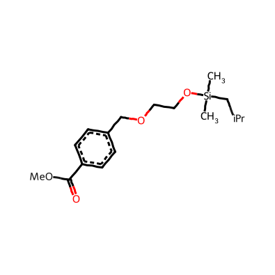 COC(=O)c1ccc(COCCO[Si](C)(C)CC(C)C)cc1